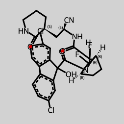 N#C[C@H](C[C@@H]1CCCNC1=O)NC(=O)[C@H]1[C@H]2CC[C@H](CC2(F)F)N1C(=O)C1(O)c2cc(Cl)ccc2-c2ccc(Cl)cc21